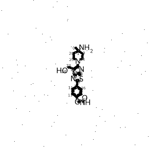 CC1(N)CCN(c2nc3sc(-c4ccc5c(c4)ONO5)nn3c2CO)CC1